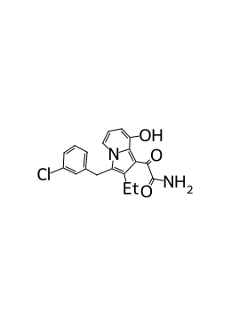 CCc1c(C(=O)C(N)=O)c2c(O)cccn2c1Cc1cccc(Cl)c1